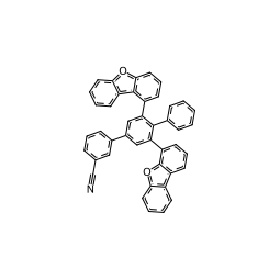 N#Cc1cccc(-c2cc(-c3cccc4c3oc3ccccc34)c(-c3ccccc3)c(-c3cccc4oc5ccccc5c34)c2)c1